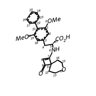 COc1cc(C[C@H](NC2=CC(=O)C23CCOCC3)C(=O)O)cc(OC)c1-c1ccccc1